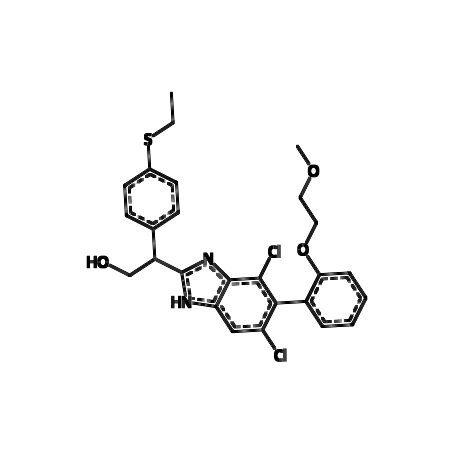 CCSc1ccc(C(CO)c2nc3c(Cl)c(-c4ccccc4OCCOC)c(Cl)cc3[nH]2)cc1